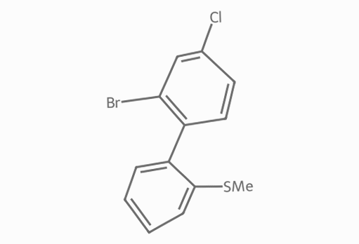 CSc1ccccc1-c1ccc(Cl)cc1Br